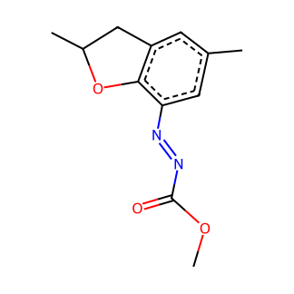 COC(=O)N=Nc1cc(C)cc2c1OC(C)C2